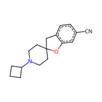 N#Cc1ccc2c(c1)OC1(CCN(C3CCC3)CC1)C2